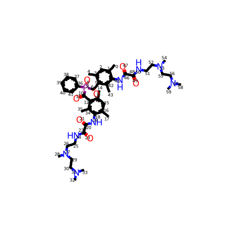 Cc1cc(C)c(C(=O)P(=O)(C(=O)c2c(C)cc(C)c(NC(=O)C(=O)NCCN(C)CCN(C)C)c2C)c2ccccc2)c(C)c1NC(=O)C(=O)NCCN(C)CCN(C)C